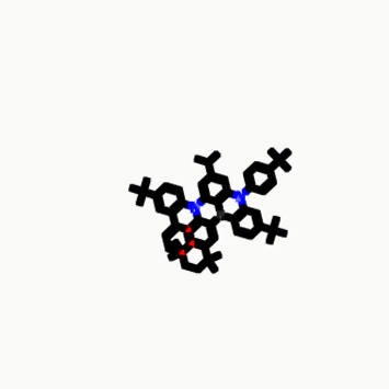 CC(C)c1cc2c3c(c1)N(c1ccc(C(C)(C)C)cc1-c1ccccc1)c1cc4c(cc1B3c1ccc(C(C)(C)C)cc1N2c1ccc(C(C)(C)C)cc1)C(C)(C)CCC4(C)C